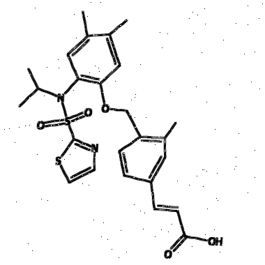 Cc1cc(OCc2ccc(/C=C/C(=O)O)cc2C)c(N(C(C)C)S(=O)(=O)c2nccs2)cc1C